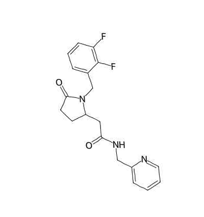 O=C(CC1CCC(=O)N1Cc1cccc(F)c1F)NCc1ccccn1